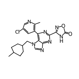 Cc1ncc(Cl)cc1-c1nc(-c2noc(=O)[nH]2)nc2ncn(CC3CCC(C)CC3)c12